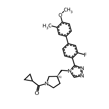 COc1ccc(-c2ccc(-c3nncn3C[C@H]3CCN(C(=O)C4CC4)C3)c(F)c2)cc1C